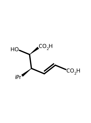 CC(C)[C@H](C=CC(=O)O)[C@@H](O)C(=O)O